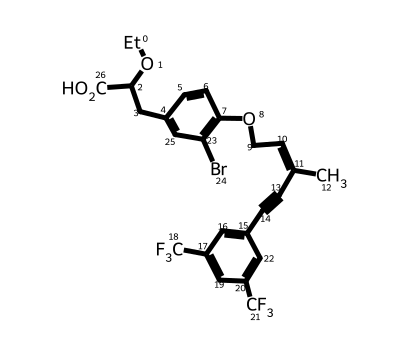 CCOC(Cc1ccc(OCC=C(C)C#Cc2cc(C(F)(F)F)cc(C(F)(F)F)c2)c(Br)c1)C(=O)O